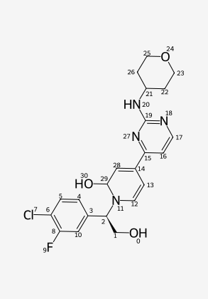 OC[C@@H](c1ccc(Cl)c(F)c1)N1C=CC(c2ccnc(NC3CCOCC3)n2)=CC1O